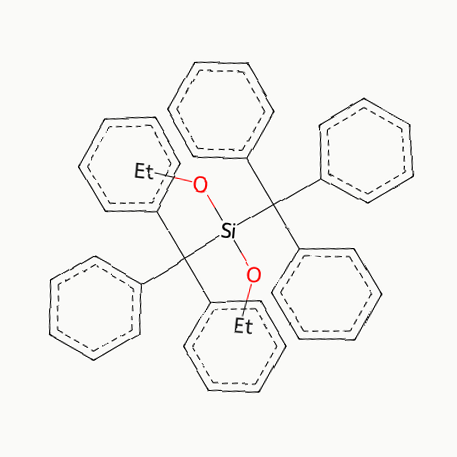 CCO[Si](OCC)(C(c1ccccc1)(c1ccccc1)c1ccccc1)C(c1ccccc1)(c1ccccc1)c1ccccc1